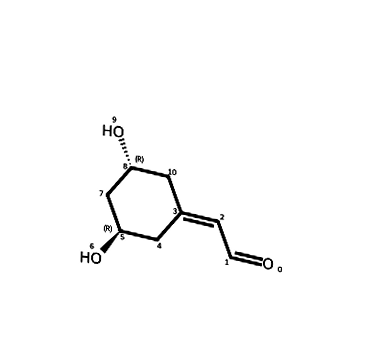 O=CC=C1C[C@@H](O)C[C@H](O)C1